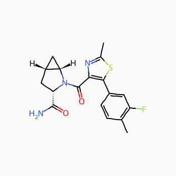 Cc1nc(C(=O)N2[C@H](C(N)=O)C[C@@H]3C[C@@H]32)c(-c2ccc(C)c(F)c2)s1